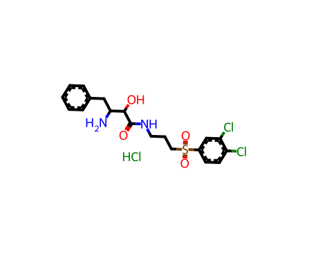 Cl.NC(Cc1ccccc1)C(O)C(=O)NCCCS(=O)(=O)c1ccc(Cl)c(Cl)c1